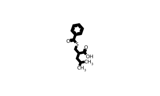 CC(C)CC(CSC(=O)c1ccccc1)C(=O)O